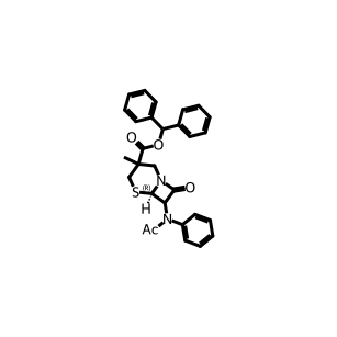 CC(=O)N(c1ccccc1)C1C(=O)N2CC(C)(C(=O)OC(c3ccccc3)c3ccccc3)CS[C@H]12